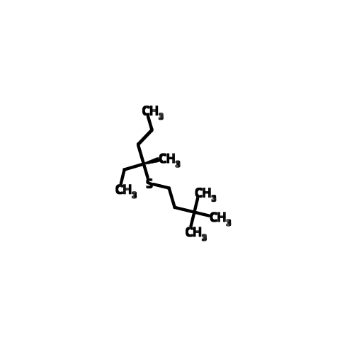 CCC[C@@](C)(CC)SCCC(C)(C)C